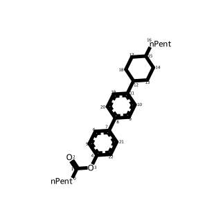 CCCCCC(=O)Oc1ccc(-c2ccc(C3CCC(CCCCC)CC3)cc2)cc1